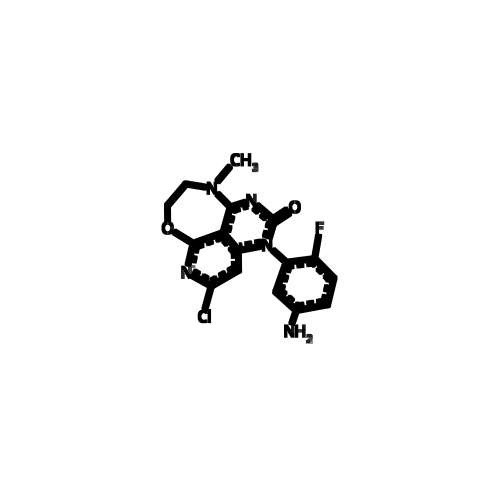 CN1CCOc2nc(Cl)cc3c2c1nc(=O)n3-c1cc(N)ccc1F